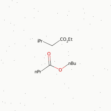 CCCCOC(=O)CCC.CCOC(=O)CC(C)C